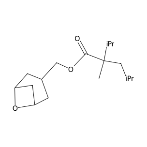 CC(C)CC(C)(C(=O)OCC1CC2CC(C1)O2)C(C)C